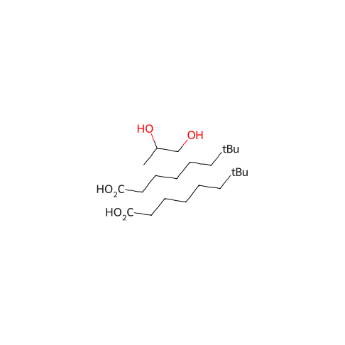 CC(C)(C)CCCCCC(=O)O.CC(C)(C)CCCCCC(=O)O.CC(O)CO